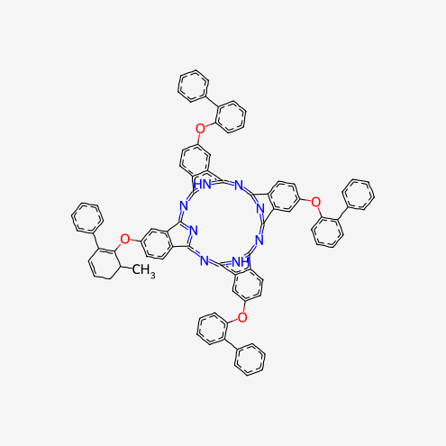 CC1CC=CC(c2ccccc2)=C1Oc1ccc2c(c1)-c1nc-2nc2[nH]c(nc3nc(nc4[nH]c(n1)c1ccc(Oc5ccccc5-c5ccccc5)cc41)-c1ccc(Oc4ccccc4-c4ccccc4)cc1-3)c1ccc(Oc3ccccc3-c3ccccc3)cc21